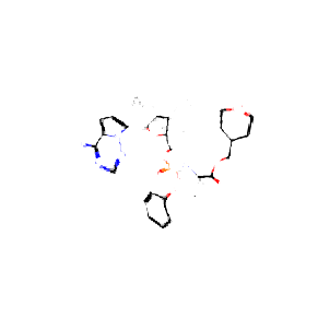 CC(=O)O[C@H]1[C@H](c2ccc3c(N)ncnn23)O[C@](C)(CO[P@](=O)(N[C@@H](C)C(=O)OCC2CCOCC2)Oc2ccccc2)[C@H]1OC(C)=O